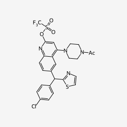 CC(=O)N1CCN(c2cc(OS(=O)(=O)C(F)(F)F)nc3ccc(C(c4ccc(Cl)cc4)c4nccs4)cc23)CC1